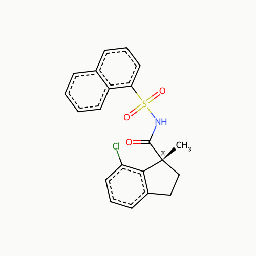 C[C@@]1(C(=O)NS(=O)(=O)c2cccc3ccccc23)CCc2cccc(Cl)c21